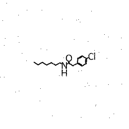 CCCCCCCNC(=O)Cc1ccc(Cl)cc1